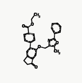 CCOC(=O)c1ccc(-c2cc3c(cc2OCc2nc(-c4ccccc4)oc2C)C(=O)CC3)cc1